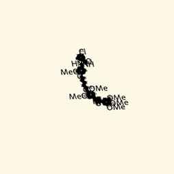 COc1cc(C2NC(=O)c3cc(Cl)ccc3N2)ccc1OCCCCCOc1c(OC)cc(-c2cc(-c3cc(OC)c(OC)c(OC)c3)on2)cc1OC